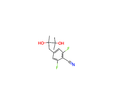 CC(C)(O)C(C)(O)Cc1cc(F)c(C#N)c(F)c1